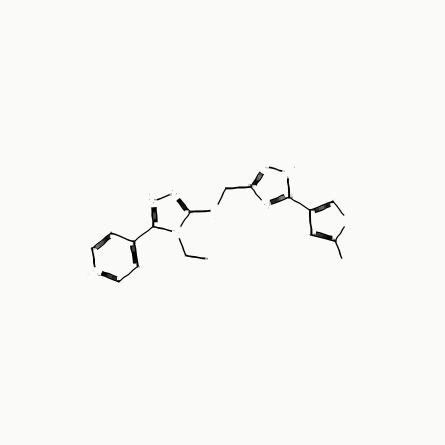 CCn1c(SCc2noc(-c3csc(Cl)c3)n2)nnc1-c1ccncc1